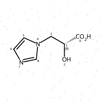 O=C(O)[C@H](O)Cn1ccnc1